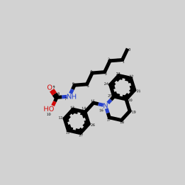 CCCCCCCNC(=O)O.c1ccc(CN2CCCc3ccccc32)cc1